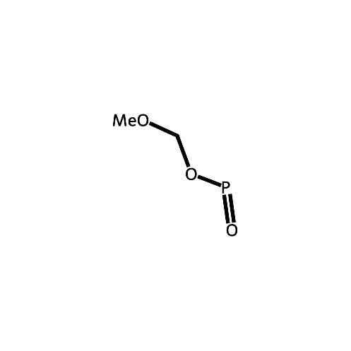 [CH2]OCOP=O